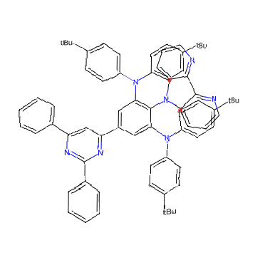 CC(C)(C)c1ccc(N(c2ccc(C(C)(C)C)cc2)c2cc(-c3cc(-c4ccccc4)nc(-c4ccccc4)n3)cc(N(c3ccc(C(C)(C)C)cc3)c3ccc(C(C)(C)C)cc3)c2-n2c3cccnc3c3ncccc32)cc1